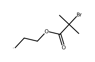 [CH2]CCOC(=O)C(C)(C)Br